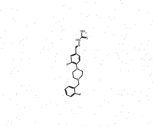 NC(=S)NN=Cc1ccc(N2CCN(Cc3ccccc3F)CC2)c(F)c1